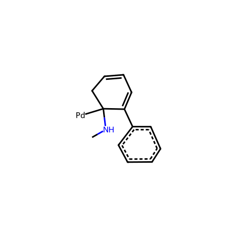 CN[C]1([Pd])CC=CC=C1c1ccccc1